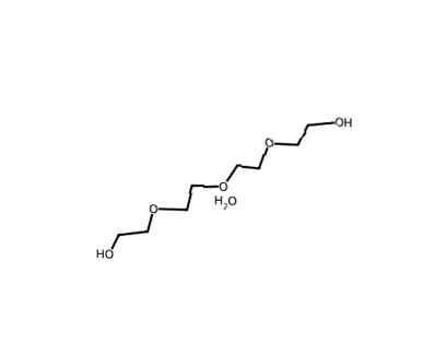 O.OCCOCCOCCOCCO